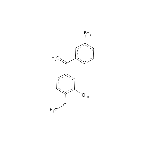 Bc1cccc(C(=C)c2ccc(OC)c(C)c2)c1